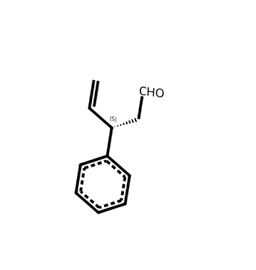 C=C[C@H](CC=O)c1ccccc1